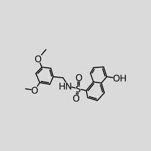 COc1cc(CNS(=O)(=O)c2cccc3c(O)cccc23)cc(OC)c1